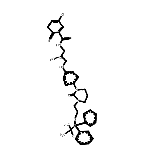 CC(C)(C)[Si](OCCN1CCCN(c2ccc(NC[C@@H](O)CNC(=O)C3=CC(Cl)=CCC3=S)cc2)C1=O)(c1ccccc1)c1ccccc1